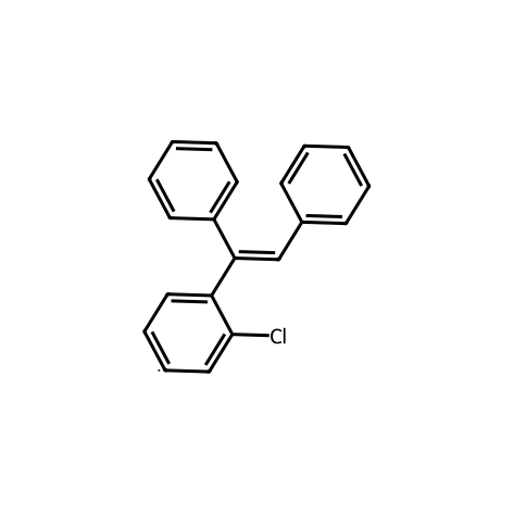 Clc1c[c]ccc1/C(=C/c1ccccc1)c1ccccc1